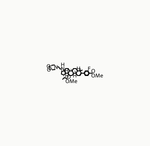 COC(=O)c1ccc(C2=CC[C@]3(C)[C@H]4CC[C@@H]5[C@H]6[C@H](C(C)C(=O)OC)CC[C@]6(NCCN6CCS(=O)(=O)CC6)CC[C@@]5(C)[C@]4(C)CC[C@H]3C2(C)C)cc1F